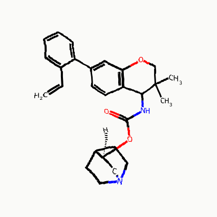 C=Cc1ccccc1-c1ccc2c(c1)OCC(C)(C)C2NC(=O)O[C@H]1CN2CCC1CC2